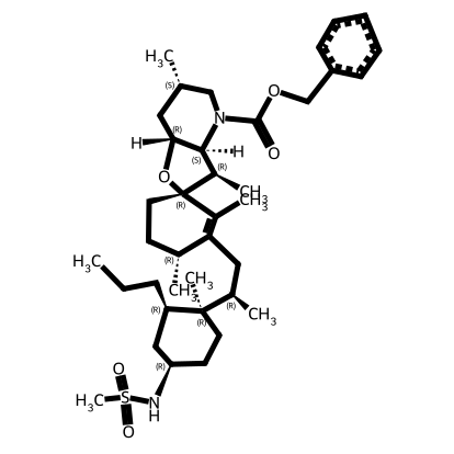 CCC[C@@H]1C[C@H](NS(C)(=O)=O)CC[C@]1(C)[C@H](C)CC1=C(C)[C@]2(CC[C@H]1C)O[C@@H]1C[C@H](C)CN(C(=O)OCc3ccccc3)[C@H]1[C@H]2C